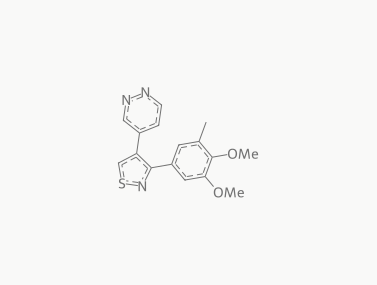 COc1cc(-c2nscc2-c2ccnnc2)cc(C)c1OC